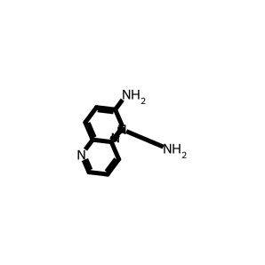 NC1=CC=C2N=CC=CC23N=CN(N)C=C13